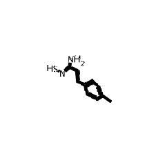 Cc1ccc(C=CC(N)=NS)cc1